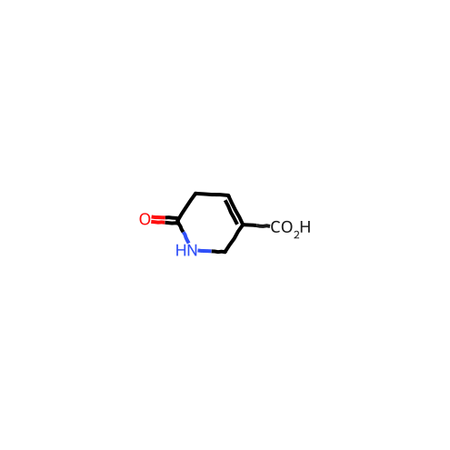 O=C1CC=C(C(=O)O)CN1